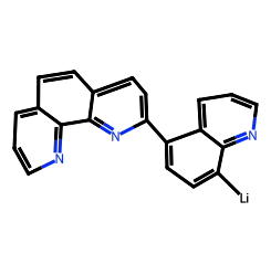 [Li][c]1ccc(-c2ccc3ccc4cccnc4c3n2)c2cccnc12